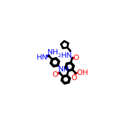 N=C(N)c1ccc(NC(=O)c2ccccc2-c2ccc(C(=O)NCC3CCCC3)cc2C(=O)O)cc1